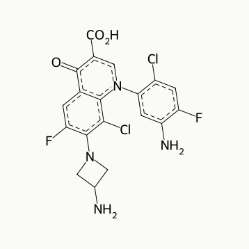 Nc1cc(-n2cc(C(=O)O)c(=O)c3cc(F)c(N4CC(N)C4)c(Cl)c32)c(Cl)cc1F